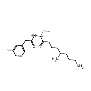 CC[C@@H](NC(=O)Cc1cccc(C)c1)C(=O)CCCC(N)CCCN